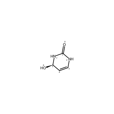 O=C1NC=C[C@@H](O)N1